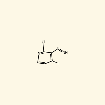 N=Nc1c(I)ccnc1Cl